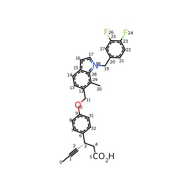 CC#C[C@@H](CC(=O)O)c1ccc(OCc2ccc3ccn(Cc4ccc(F)c(F)c4)c3c2C)cc1